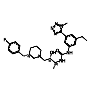 CCc1cc(NC(=O)N[C@H](C)[C@@H](O)CN2CCC[C@@H](Cc3ccc(F)cc3)C2)cc(-c2nnnn2C)c1